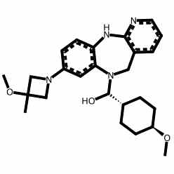 COC1(C)CN(c2ccc3c(c2)N(C(O)[C@H]2CC[C@H](OC)CC2)Cc2cccnc2N3)C1